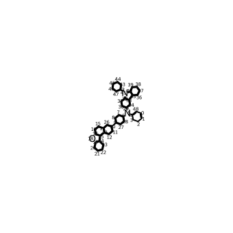 C1=CCCC(N(c2ccc(-c3ccc4c(ccc5oc6ccccc6c54)c3)cc2)c2ccc3c(c2)c2ccccc2n3-c2ccccc2)=C1